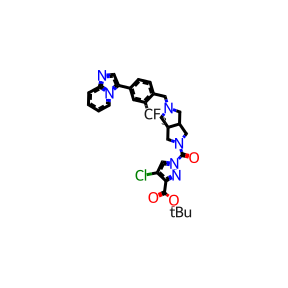 CC(C)(C)OC(=O)c1nn(C(=O)N2CC3CN(Cc4ccc(-c5cnc6ccccn56)cc4C(F)(F)F)CC3C2)cc1Cl